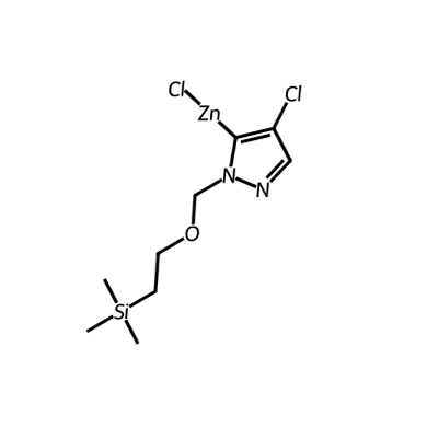 C[Si](C)(C)CCOCn1ncc(Cl)[c]1[Zn][Cl]